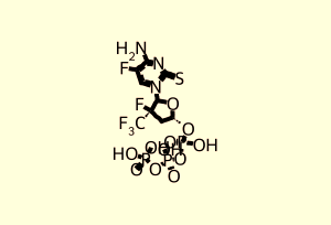 Nc1nc(=S)n(C2O[C@H](OP(=O)(O)OP(=O)(O)OP(=O)(O)O)C[C@]2(F)C(F)(F)F)cc1F